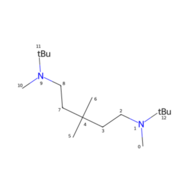 CN(CCC(C)(C)CCN(C)C(C)(C)C)C(C)(C)C